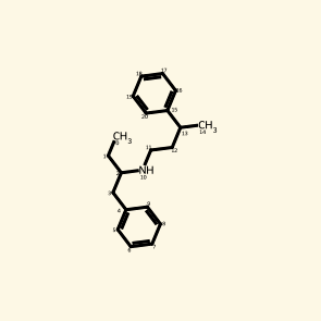 CCC(Cc1ccccc1)NCCC(C)c1ccccc1